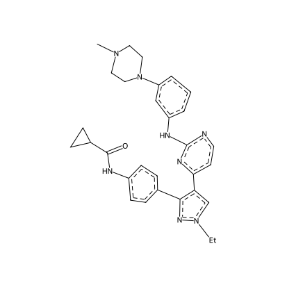 CCn1cc(-c2ccnc(Nc3cccc(N4CCN(C)CC4)c3)n2)c(-c2ccc(NC(=O)C3CC3)cc2)n1